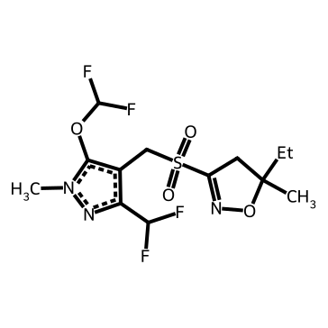 CCC1(C)CC(S(=O)(=O)Cc2c(C(F)F)nn(C)c2OC(F)F)=NO1